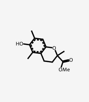 COC(=O)C1(C)CCc2c(cc(C)c(O)c2C)O1